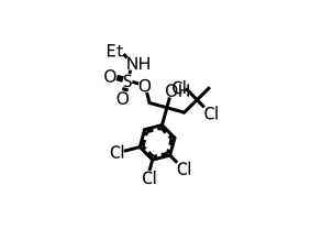 CCNS(=O)(=O)OCC(O)(CC(C)(Cl)Cl)c1cc(Cl)c(Cl)c(Cl)c1